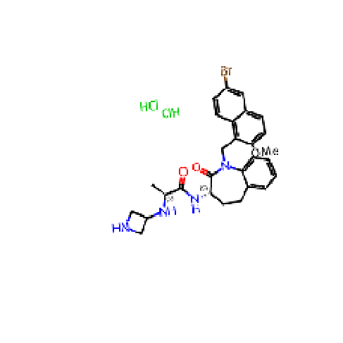 COc1ccc2cc(Br)ccc2c1CN1C(=O)[C@@H](NC(=O)[C@H](C)NC2CNC2)CCc2ccccc21.Cl.Cl